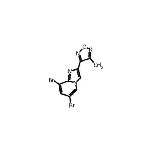 Cc1nonc1-c1cn2cc(Br)cc(Br)c2n1